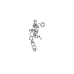 CN1C(=O)[C@H](NC(=O)c2n[nH]c(Cc3ccccc3)n2)CCc2ccc(N3CCC4(CCOCC4)CC3)cc21